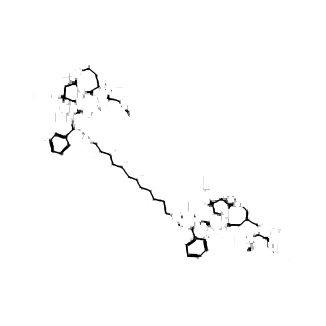 CNCC(=O)N[C@H]1CCS[C@H]2CC(C)(C)[C@@H](C(=O)N[C@H](COCCCCCCCCCCCCOC[C@@H](NC(=O)[C@H]3N4C(=O)CC(C[C@H](NC)C(N)=O)CS[C@H]4CC3(C)C)c3ccccc3)c3ccccc3)N2C1=O